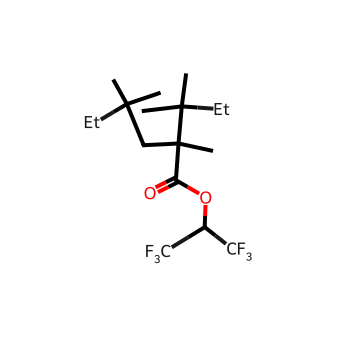 CCC(C)(C)CC(C)(C(=O)OC(C(F)(F)F)C(F)(F)F)C(C)(C)CC